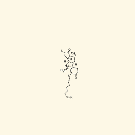 C=C1C[C@@H]2[C@@H](CC[C@]3(C)C(=O)C(F)C[C@@H]23)[C@@]2(C)CCC(=O)C(SCCCCCCCCCCCCCCCC)=C12